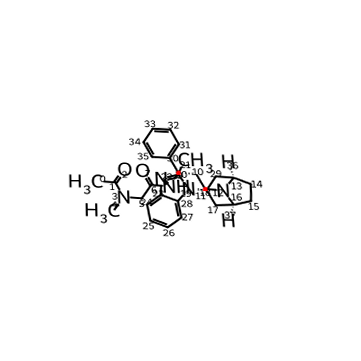 CC(=O)N(C)CC(=O)N[C@@H](CCN1[C@@H]2CC[C@H]1C[C@H](n1c(C)nc3ccccc31)C2)c1ccccc1